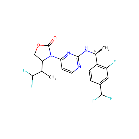 CC(C(F)F)C1COC(=O)N1c1ccnc(N[C@@H](C)c2ccc(C(F)F)cc2F)n1